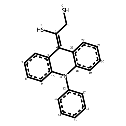 SCC(S)=C1c2ccccc2N(c2ccccc2)c2ccccc21